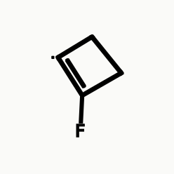 FC1=[C]CC1